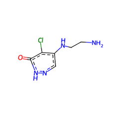 NCCNc1cn[nH]c(=O)c1Cl